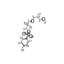 COCC(C)COCC(C)(C)COS(=O)(=O)c1ccc(C)cc1